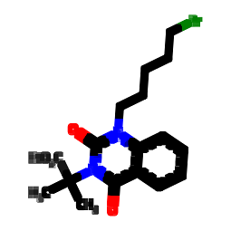 CCOC(=O)C(C)(C)n1c(=O)c2ccccc2n(CCCCCBr)c1=O